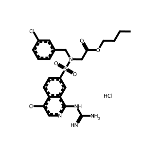 CCCCOC(=O)CN(Cc1cccc(Cl)c1)S(=O)(=O)c1ccc2c(Cl)cnc(NC(=N)N)c2c1.Cl